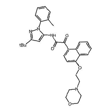 Cc1ccccc1-n1nc(C(C)(C)C)cc1NC(=O)C(=O)c1ccc(OCCN2CCOCC2)c2ccccc12